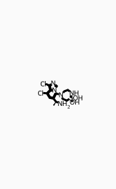 C[C@H](N)c1cc(Cl)c2c(Cl)ncn2c1N1CCNS(O)(O)CC1